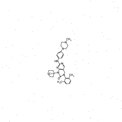 Cc1cccc(C)c1N1Cc2cnc(Nc3ccc(N4CCN(C)CC4)cc3)nc2N(C23CCC(CC2)CC3)C1=O